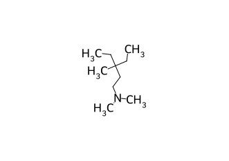 CCC(C)(CC)CCN(C)C